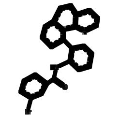 O=C(Nc1ccccc1-c1cccc2ccc3cccnc3c12)c1cccc(Br)c1